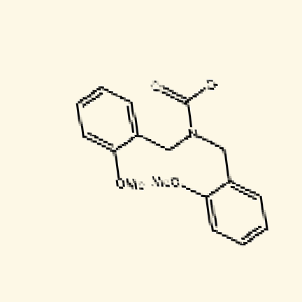 COc1ccccc1CN(Cc1ccccc1OC)C([O])=O